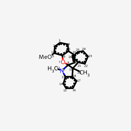 COc1cccc2c1OC1(C=C2)N(C)c2ccccc2C1(C)c1ccccc1